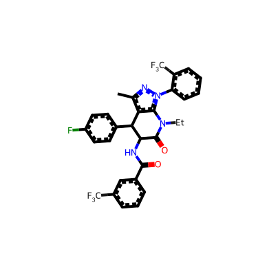 CCN1C(=O)C(NC(=O)c2cccc(C(F)(F)F)c2)C(c2ccc(F)cc2)c2c(C)nn(-c3ccccc3C(F)(F)F)c21